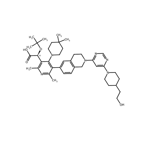 Cc1nc(C)c([C@H](OC(C)(C)C)C(=O)O)c(N2CCC(C)(C)CC2)c1-c1ccc2c(c1)CCN(c1cc(N3CCC(CCO)CC3)ncn1)C2